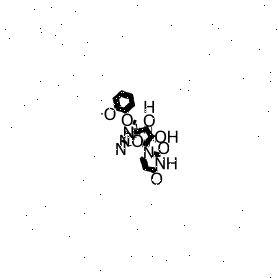 [N-]=[N+]=N[C@]1(COc2ccccc2[O])O[C@@H](n2ccc(=O)[nH]c2=O)[C@H](O)[C@@H]1O